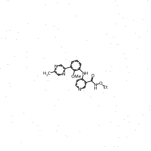 CCONC(=O)c1cnccc1Nc1cccc(-c2cnc(C)cn2)c1OC